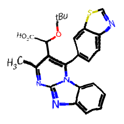 Cc1nc2nc3ccccc3n2c(-c2ccc3ncsc3c2)c1C(OC(C)(C)C)C(=O)O